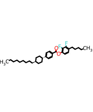 CCCCCCCCC[C@H]1CC[C@H](c2ccc(C(=O)Oc3ccc(CCCCC)c(F)c3F)cc2)CC1